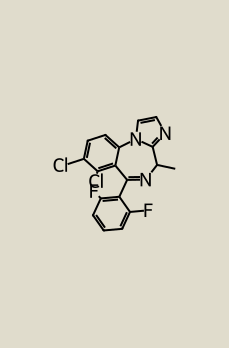 CC1N=C(c2c(F)cccc2F)c2c(ccc(Cl)c2Cl)-n2ccnc21